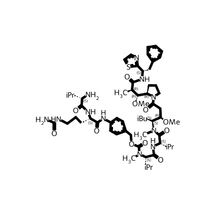 CC[C@H](C)[C@@H]([C@@H](CC(=O)N1CCC[C@@H]1[C@H](OC)[C@@H](C)C(=O)N[C@@H](Cc1ccccc1)c1nccs1)OC)N(C)C(=O)[C@@H](NC(=O)[C@H](C(C)C)N(C)C(=O)OCc1ccc(NC(=O)[C@H](CCCNC(N)=O)NC(=O)[C@@H](N)C(C)C)cc1)C(C)C